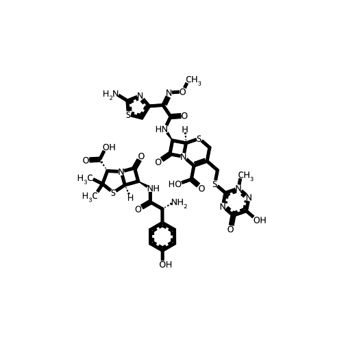 CC1(C)S[C@@H]2[C@H](NC(=O)[C@H](N)c3ccc(O)cc3)C(=O)N2[C@H]1C(=O)O.CO/N=C(\C(=O)N[C@@H]1C(=O)N2C(C(=O)O)=C(CSc3nc(=O)c(O)nn3C)CS[C@H]12)c1csc(N)n1